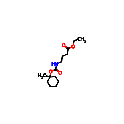 CCOC(=O)CCCNC(=O)OC1(C)CCCCC1